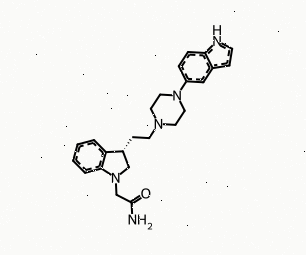 NC(=O)CN1C[C@@H](CCN2CCN(c3ccc4[nH]ccc4c3)CC2)c2ccccc21